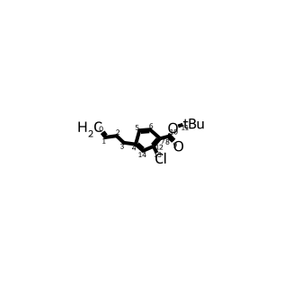 C=CCCc1ccc(C(=O)OC(C)(C)C)c(Cl)c1